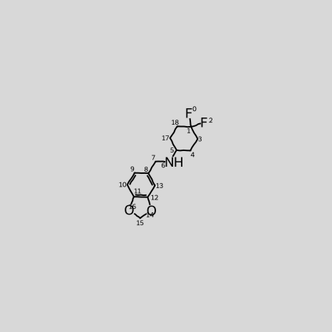 FC1(F)CCC(NCc2ccc3c(c2)OCO3)CC1